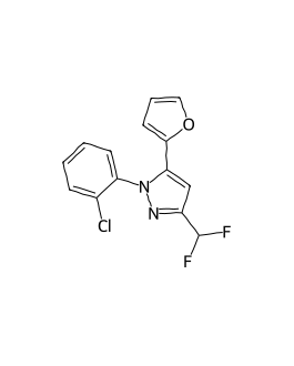 FC(F)c1cc(-c2ccco2)n(-c2ccccc2Cl)n1